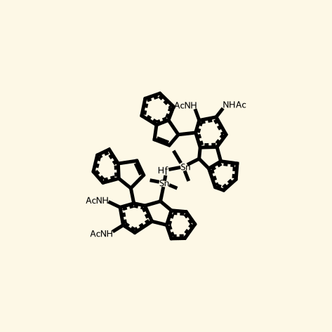 CC(=O)Nc1cc2c(c(C3C=Cc4ccccc43)c1NC(C)=O)[CH]([Sn]([CH3])([CH3])[Hf][Sn]([CH3])([CH3])[CH]1c3ccccc3-c3cc(NC(C)=O)c(NC(C)=O)c(C4C=Cc5ccccc54)c31)c1ccccc1-2